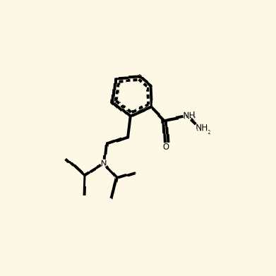 CC(C)N(CCc1ccccc1C(=O)NN)C(C)C